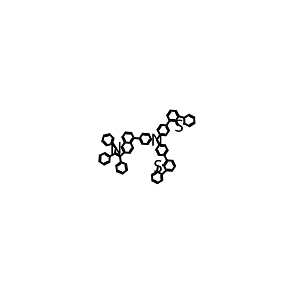 C1=CC2Sc3c(-c4ccc(N(c5ccc(-c6cccc7c6ccc6c(-c8ccccc8)c(-c8ccccc8)n(-c8ccccc8)c67)cc5)c5ccc(-c6cccc7c6sc6ccccc67)cc5)cc4)cccc3C2C=C1